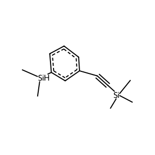 C[SiH](C)c1cccc(C#C[Si](C)(C)C)c1